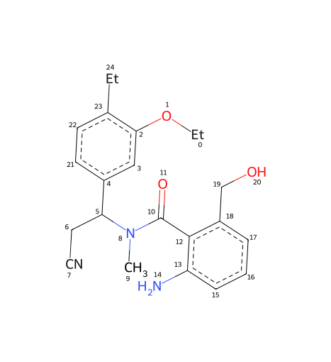 CCOc1cc(C(CC#N)N(C)C(=O)c2c(N)cccc2CO)ccc1CC